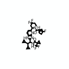 O=C([C@@H]1CC2(F)CC1C2)N1CCC(F)(F)CC1c1ccc2[nH]c(C(NC(=O)C3(C(F)(F)F)CC3)C(C3CC3)C3CC3)nc2n1